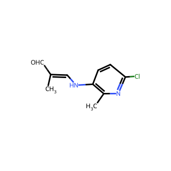 C/C(C=O)=C\Nc1ccc(Cl)nc1C